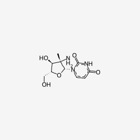 C[C@]1(N)[C@H](O)[C@@H](CO)O[C@H]1n1ccc(=O)[nH]c1=O